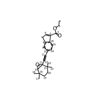 CCOC(=O)C1=CCc2cc(C#CC34OC3C(C)(C)CCC4(C)C)ccc21